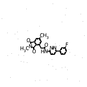 Cc1cc(CC(=O)Nc2ccc(-c3cccc(F)c3)nn2)c2c(c1)C(=O)N(C)C2=O